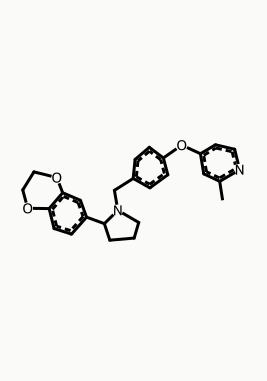 Cc1cc(Oc2ccc(CN3CCCC3c3ccc4c(c3)OCCO4)cc2)ccn1